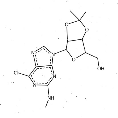 CNc1nc(Cl)c2ncn(C3OC(CO)C4OC(C)(C)OC43)c2n1